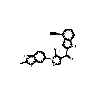 C#Cc1cccc2[nH]c(C(=O)c3cnn(-c4ccc5[nH]c(C)nc5c4)c3N)cc12